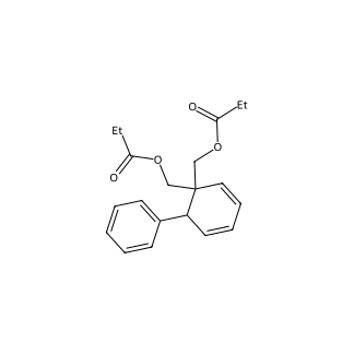 CCC(=O)OCC1(COC(=O)CC)C=CC=CC1c1ccccc1